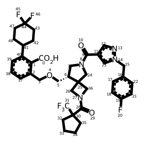 O=C(O)c1c(COC[C@@H]2CN(C(=O)c3cnn(Cc4ccc(F)cc4)c3)CC23CN(C(=O)C2(C(F)(F)F)CCCC2)C3)cccc1C1CCC(F)(F)CC1